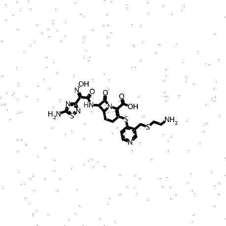 NCCSCc1cnccc1SC1=C(C(=O)O)N2C(=O)C(NC(=O)/C(=N\O)c3nsc(N)n3)C2CC1